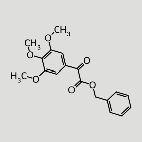 COc1cc(C(=O)C(=O)OCc2ccccc2)cc(OC)c1OC